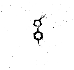 CC(=O)c1ccc(N2CCC(C)C2)cc1